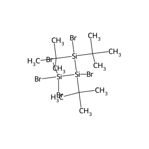 CC(C)(C)[Si](Br)(C(C)(C)C)[Si](Br)(C(C)(C)C)[Si](Br)(Br)Br